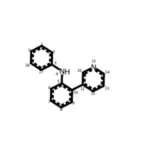 c1ccc(Nc2ccccc2-c2cccnc2)cc1